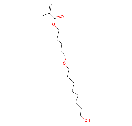 C=C(C)C(=O)OCCCCCOCCCCCCCCO